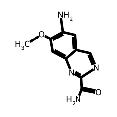 COc1cc2nc(C(N)=O)ncc2cc1N